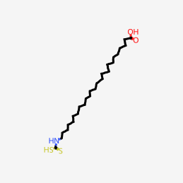 O=C(O)CCCCCCCCCCCCCCCCCCCCCCCCNC(=S)S